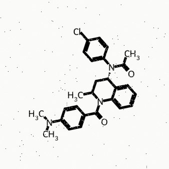 CC(=O)N(c1ccc(Cl)cc1)[C@H]1CC(C)N(C(=O)c2ccc(N(C)C)cc2)c2ccccc21